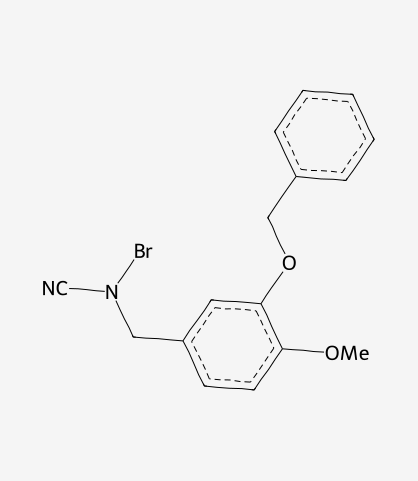 COc1ccc(CN(Br)C#N)cc1OCc1ccccc1